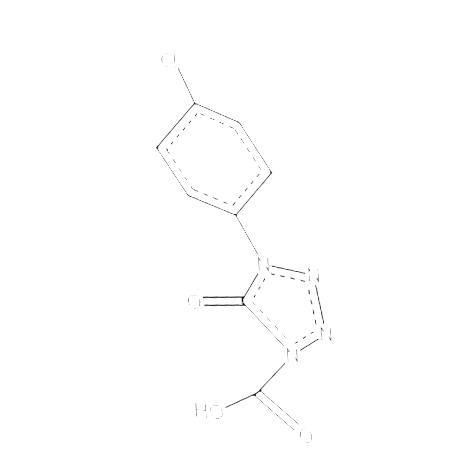 O=C(O)n1nnn(-c2ccc(Cl)cc2)c1=O